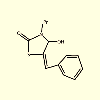 CC(C)N1C(=O)S/C(=C/c2ccccc2)C1O